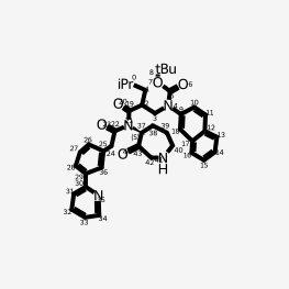 CC(C)CC(CN(C(=O)OC(C)(C)C)c1ccc2ccccc2c1)C(=O)N(C(=O)Cc1cccc(-c2ccccn2)c1)[C@H]1CCCNCC1=O